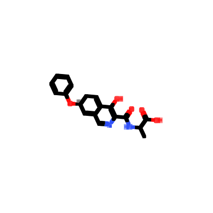 CC(NC(=O)c1ncc2c(c1O)=CC[C@H](Oc1ccccc1)C=2)C(=O)O